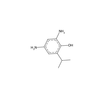 CC(C)c1cc(N)cc(N)c1O